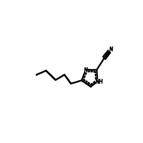 CCCCCc1c[nH]c(C#N)n1